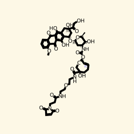 COc1cccc2c1C(=O)c1c(O)c3c(c(O)c1C2=O)C[C@@](O)(C(=O)CO)C[C@@H]3O[C@H]1C[C@H](NC(=O)O[C@H]2/C=C/CC[C@@](O)(C(=O)NCCOCCNC(=O)CCN3C(=O)C=CC3=O)CC2)[C@H](O)[C@H](C)O1